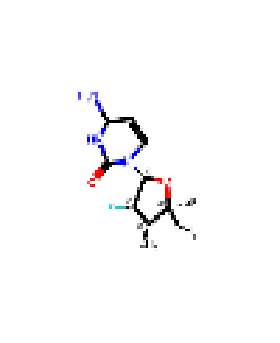 CC[C@@]1(C)O[C@@H](N2C=CC(N)NC2=O)[C@H](F)[C@@H]1C